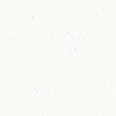 CC(C)(C)c1cc(NC(=O)C(=O)c2ccc(OCCN3CCOCC3)c3ccccc23)n(-c2ccccc2Cl)n1